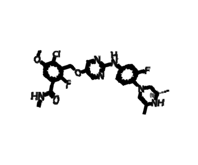 CNC(=O)c1cc(OC)c(Cl)c(COc2cnc(Nc3ccc(N4C=C(C)N[C@@H](C)C4)c(F)c3)nc2)c1F